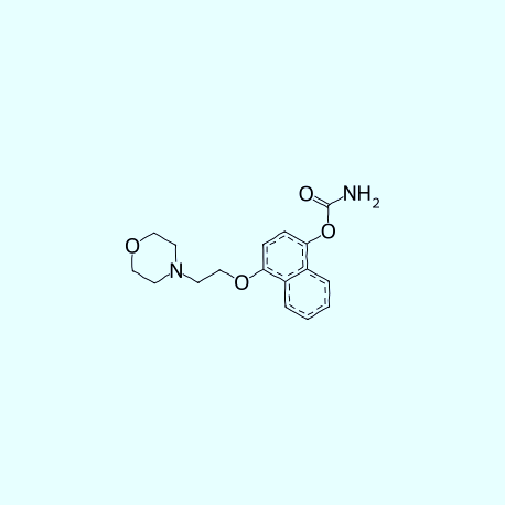 NC(=O)Oc1ccc(OCCN2CCOCC2)c2ccccc12